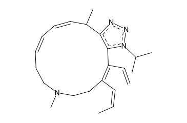 C=C/C1=C(\C=C/C)CCN(C)CC/C=C\C=C/C(C)c2nnn(C(C)C)c21